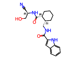 N#C[C@H](CO)NC(=O)[C@@H]1CCCC[C@@H]1CNC(=O)c1cc2ccccc2[nH]1